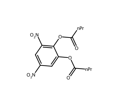 CCCC(=O)Oc1cc([N+](=O)[O-])cc([N+](=O)[O-])c1OC(=O)CCC